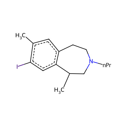 CCCN1CCc2cc(C)c(I)cc2C(C)C1